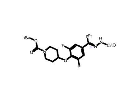 CCC/C(=N\NC=O)c1cc(F)c(OC2CCN(C(=O)OC(C)(C)C)CC2)c(F)c1